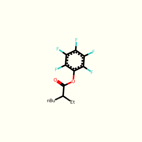 CCCCC(CC)C(=O)Oc1c(F)c(F)c(F)c(F)c1F